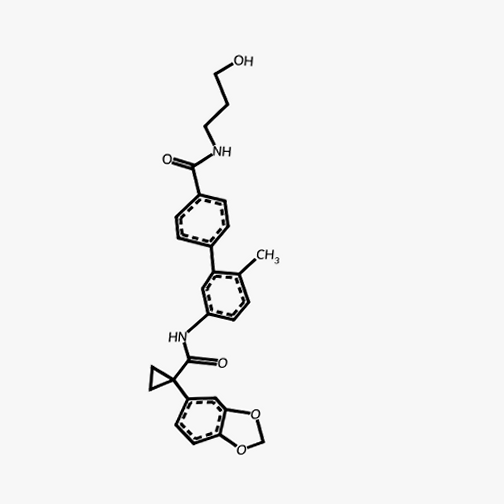 Cc1ccc(NC(=O)C2(c3ccc4c(c3)OCO4)CC2)cc1-c1ccc(C(=O)NCCCO)cc1